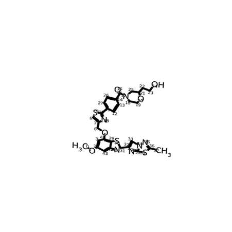 COc1cc(OCc2csc(-c3ccc(C(=O)N4CCOC(CCO)C4)cc3)n2)c2sc(-c3cn4nc(C)sc4n3)nc2c1